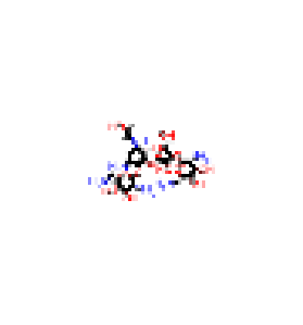 NC[C@@H]1O[C@H](O[C@H]2[C@@H](O)[C@H](O[C@@H]3[C@@H](O)[C@H](NCCO)C[C@H](N)[C@H]3O[C@H]3O[C@H](CN)C(O)[C@@H](O)[C@H]3N)O[C@@H]2CO)[C@H](N)[C@@H](O)[C@@H]1O